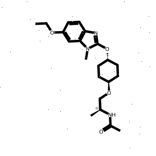 CCOc1ccc2nc(O[C@H]3CC[C@H](OC[C@H](C)NC(C)=O)CC3)n(C)c2c1